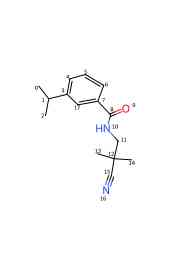 CC(C)c1cccc(C(=O)NCC(C)(C)C#N)c1